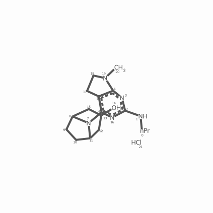 CCCNc1nc2c(c(N3C4CCC3CC(O)C4)n1)CCN2C.Cl